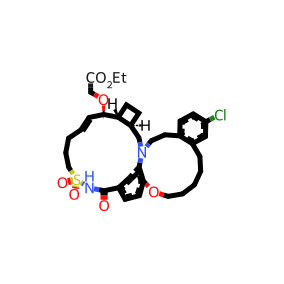 CCOC(=O)CO[C@@H]1/C=C/CCCS(=O)(=O)NC(=O)c2ccc3c(c2)N(CCc2ccc(Cl)cc2CCCCCO3)C[C@@H]2CC[C@H]21